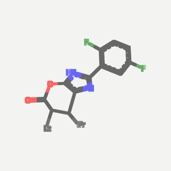 CCC1C(=O)Oc2[nH]c(-c3cc(F)ccc3F)nc2C1C(C)C